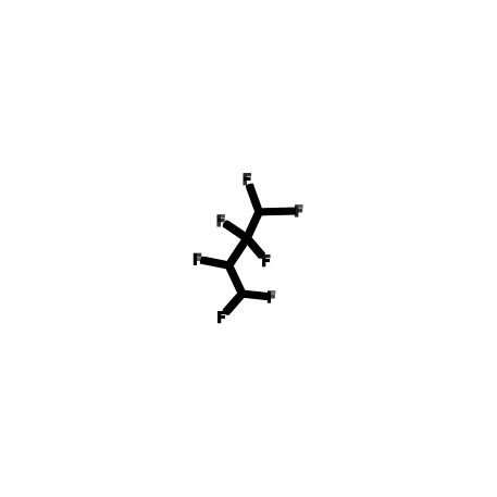 FC(F)C(F)C(F)(F)C(F)F